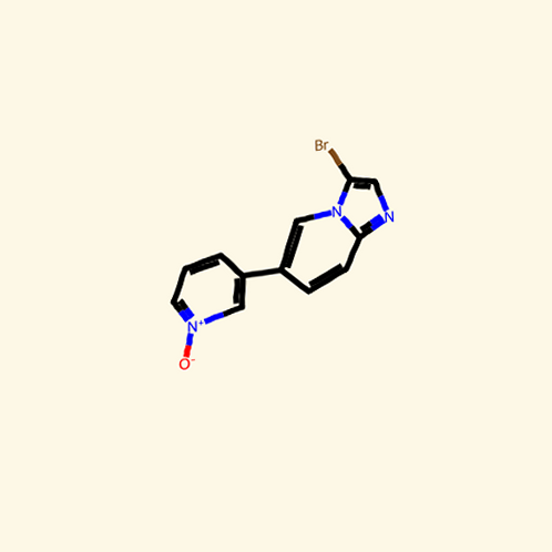 [O-][n+]1cccc(-c2ccc3ncc(Br)n3c2)c1